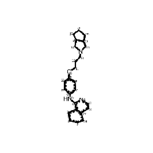 c1ccc2c(Nc3ccc(OCCCN4CC5CCCC5C4)cc3)nccc2c1